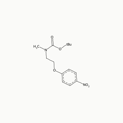 CN(CCOc1ccc([N+](=O)[O-])cc1)C(=O)OC(C)(C)C